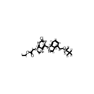 CCOC(=O)Cn1cnc2c(-n3ncc4c(CO[Si](C)(C)C(C)(C)C)cccc43)nc(Cl)nc21